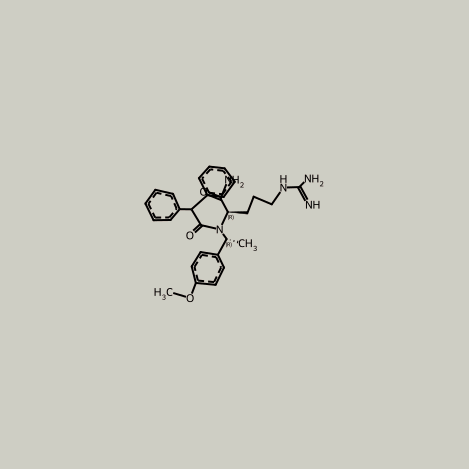 COc1ccc([C@@H](C)N(C(=O)C(c2ccccc2)c2ccccc2)[C@H](CCCNC(=N)N)C(N)=O)cc1